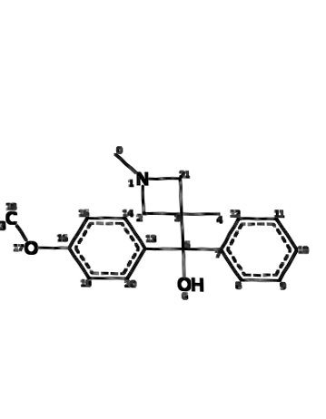 CN1CC(C)(C(O)(c2ccccc2)c2ccc(OC(F)(F)F)cc2)C1